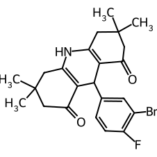 CC1(C)CC(=O)C2=C(C1)NC1=C(C(=O)CC(C)(C)C1)C2c1ccc(F)c(Br)c1